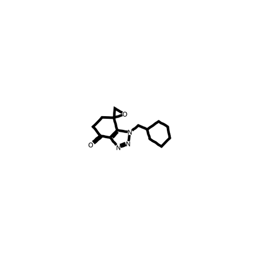 O=C1CCC2(CO2)c2c1nnn2CC1CCCCC1